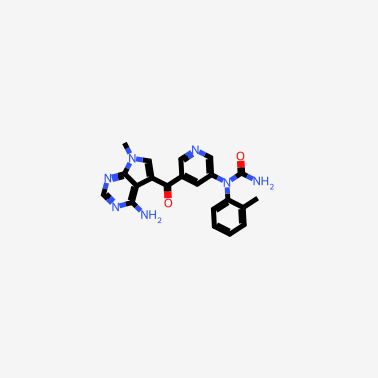 Cc1ccccc1N(C(N)=O)c1cncc(C(=O)c2cn(C)c3ncnc(N)c23)c1